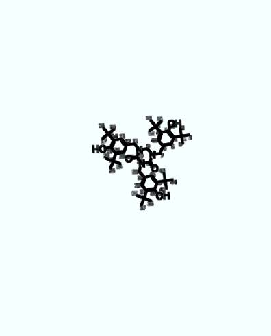 CC(C)(C)c1cc(CN2CN(Cc3cc(C(C)(C)C)c(O)c(C(C)(C)C)c3)C(=O)N(Cc3cc(C(C)(C)C)c(O)c(C(C)(C)C)c3)C2=O)cc(C(C)(C)C)c1O